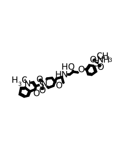 CNS(=O)(=O)c1cccc(OCC(O)CN[C@H]2COC3(CCN(S(=O)(=O)c4cn(C)c5ccccc5c4=O)CC3)C2)c1